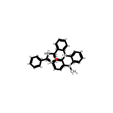 CB1c2ccccc2N(c2ccccc2-c2nnc(-c3ccccc3)[nH]2)c2ccccc21